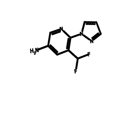 Nc1cnc(-n2cccn2)c(C(F)F)c1